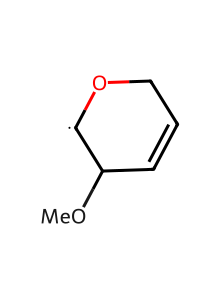 COC1[CH]OCC=C1